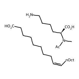 CC(=O)N(C)[C@@H](CCCCN)C(=O)O.CCCCCCCC/C=C\CCCCCCCC(=O)O